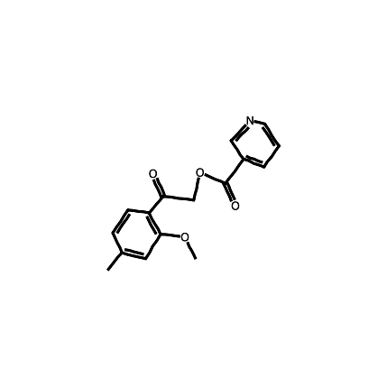 COc1cc(C)ccc1C(=O)COC(=O)c1cccnc1